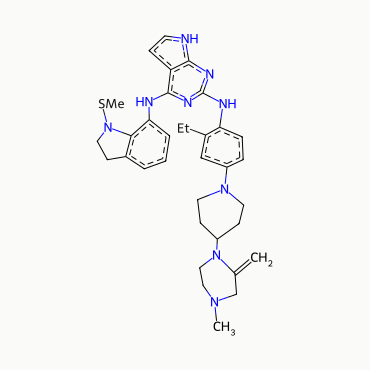 C=C1CN(C)CCN1C1CCN(c2ccc(Nc3nc(Nc4cccc5c4N(SC)CC5)c4cc[nH]c4n3)c(CC)c2)CC1